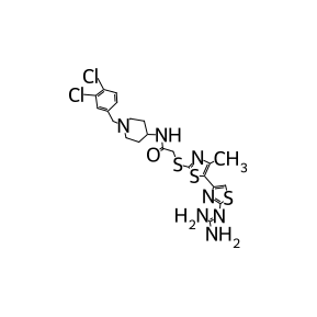 Cc1nc(SCC(=O)NC2CCN(Cc3ccc(Cl)c(Cl)c3)CC2)sc1-c1csc(N=C(N)N)n1